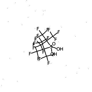 O=S(O)(O)(C(C(F)(F)F)(C(F)(F)F)C(F)(F)F)C(C(F)(F)F)(C(F)(F)F)C(F)(F)F